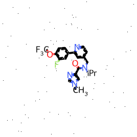 CC(C)N(Cc1ccnc(-c2ccc(OC(F)(F)F)c(F)c2)c1)C(=O)c1cn(C)cn1